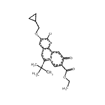 CCOC(=O)c1cn2c(C(C)(C)C)cc3cc(OCC4CC4)c(Cl)nc3c2cc1=O